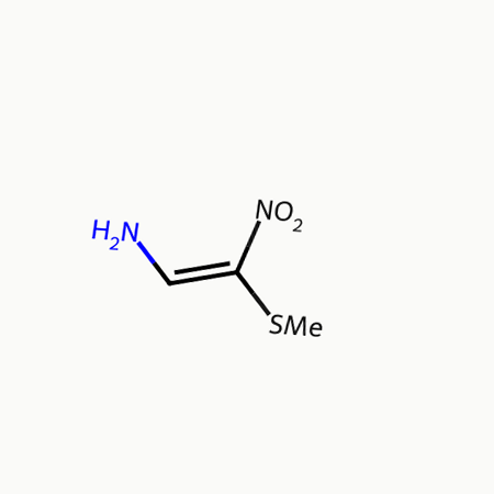 CSC(=CN)[N+](=O)[O-]